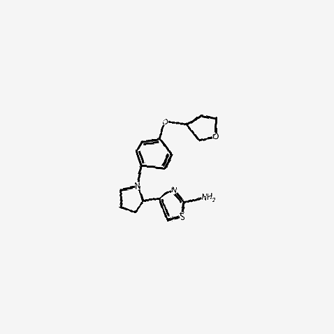 Nc1nc(C2CCCN2c2ccc(OC3CCOC3)cc2)cs1